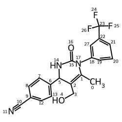 CC1=C(CO)C(c2ccc(C#N)cc2)NC(=O)N1c1cccc(C(F)(F)F)c1